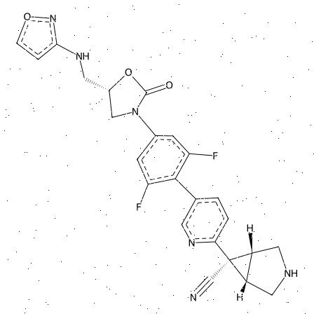 N#C[C@]1(c2ccc(-c3c(F)cc(N4C[C@H](CNc5ccon5)OC4=O)cc3F)cn2)[C@@H]2CNC[C@@H]21